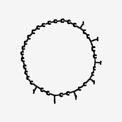 IC1CCCCCCCCCCCCCCCCCC(I)CCC(I)CCC(I)CCC(I)CCC(I)CCC(I)CC1